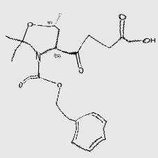 C[C@H]1OC(C)(C)N(C(=O)OCc2ccccc2)[C@@H]1C(=O)CCC(=O)O